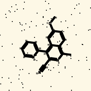 COc1ccc2c(C)nc(C#N)c(-c3ccccn3)c2c1